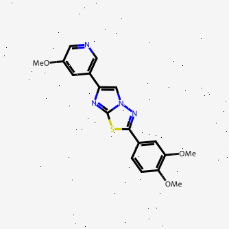 COc1cncc(-c2cn3nc(-c4ccc(OC)c(OC)c4)sc3n2)c1